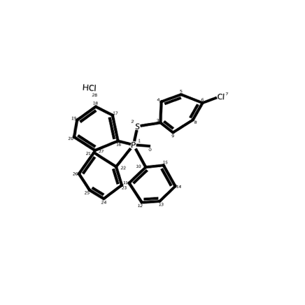 CP(Sc1ccc(Cl)cc1)(c1ccccc1)(c1ccccc1)c1ccccc1.Cl